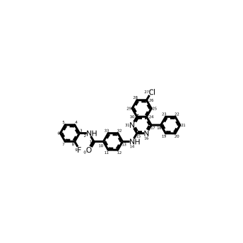 O=C(Nc1ccccc1F)c1ccc(Nc2nc(-c3ccccc3)c3cc(Cl)ccc3n2)cc1